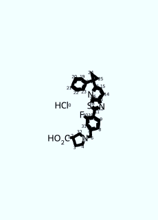 Cl.O=C(O)C1CCN(Cc2ccc(-c3nc4ccc(C5(c6ccccc6)CC5)nc4s3)c(F)c2)C1